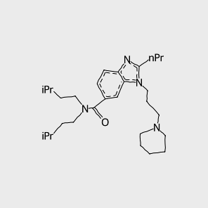 CCCc1nc2ccc(C(=O)N(CCC(C)C)CCC(C)C)cc2n1CCCN1CCCCC1